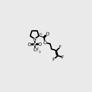 O=C(OCCC(F)=C(F)F)[C@@H]1CCCN1S(=O)(=O)C(F)(F)F